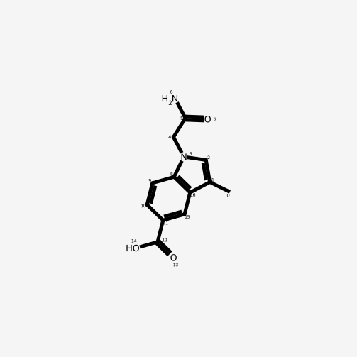 Cc1cn(CC(N)=O)c2ccc(C(=O)O)cc12